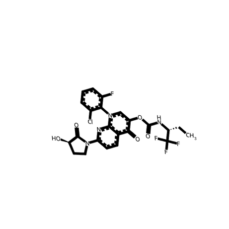 CC[C@@H](NC(=O)Oc1cn(-c2c(F)cccc2Cl)c2nc(N3CC[C@@H](O)C3=O)ccc2c1=O)C(F)(F)F